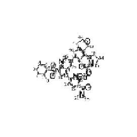 Cc1ccccc1S(=O)(=O)n1cc(-c2ccc(C(=O)N(C)C)cn2)c2cc(-c3cc4c(c([C@@H]5CCCN5C(=O)OC(C)(C)C)c3)COCC4)cnc21